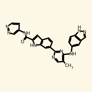 Cc1cnc(-c2ccc3cc(C(=O)Nc4ccnnc4)[nH]c3c2)nc1Nc1ccc2[nH]ncc2c1